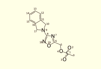 CS(=O)(=O)OCc1nc(N2Cc3ccccc3C2)no1